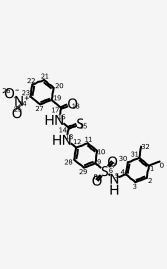 Cc1ccc(NS(=O)(=O)c2ccc(NC(=S)NC(=O)c3cccc([N+](=O)[O-])c3)cc2)cc1C